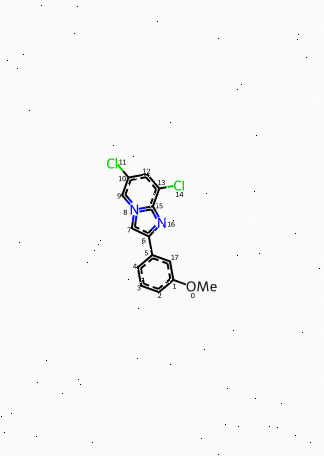 COc1cccc(-c2cn3cc(Cl)cc(Cl)c3n2)c1